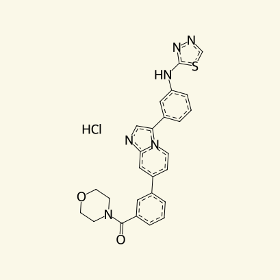 Cl.O=C(c1cccc(-c2ccn3c(-c4cccc(Nc5nncs5)c4)cnc3c2)c1)N1CCOCC1